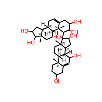 C[C@]12CCC(O)CC1=CC(O)[C@@H]1[C@H]2CC[C@@]2(C)[C@H]1CC(O)C2(O)C1C(O)C(O)CC2=CC[C@@H]3[C@@H](CC[C@]4(C)C(O)C(O)C[C@@H]34)[C@]21C